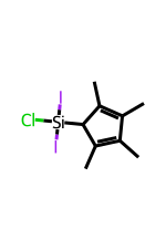 CC1=C(C)C([Si](Cl)(I)I)C(C)=C1C